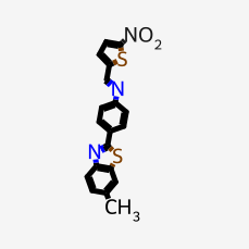 Cc1ccc2nc(-c3ccc(/N=C/c4ccc([N+](=O)[O-])s4)cc3)sc2c1